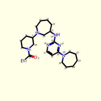 CCC(=O)N1CCCC(N2CCCCC(Nc3nccc(N4CCCCCC4)n3)C2)C1